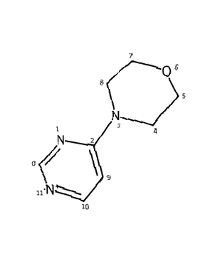 C1=NC(N2CCOCC2)=CC=[N+]1